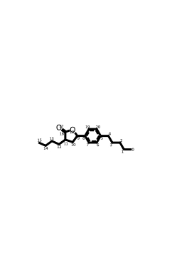 CCCCCc1ccc(C2CC(CCCC)C(=O)O2)cc1